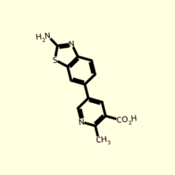 Cc1ncc(-c2ccc3nc(N)sc3c2)cc1C(=O)O